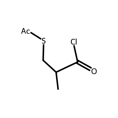 CC(=O)SCC(C)C(=O)Cl